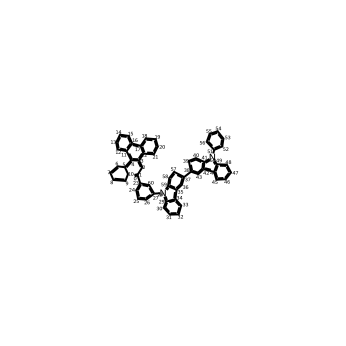 C=C(/C=c1\c(=C2\C=CC=CC2)c2ccccc2c2ccccc12)c1cccc(-n2c3ccccc3c3cc(-c4ccc5c(c4)c4ccccc4n5-c4ccccc4)ccc32)c1